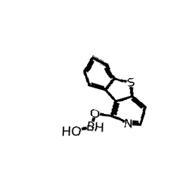 OBOc1nccc2sc3ccccc3c12